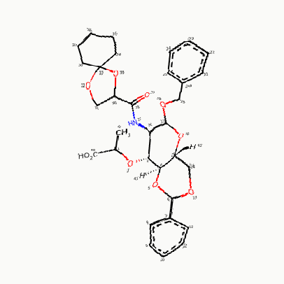 CC(O[C@H]1[C@@H]2OC(c3ccccc3)OC[C@H]2OC(OCc2ccccc2)[C@@H]1NC(=O)C1COC2(CCCCC2)O1)C(=O)O